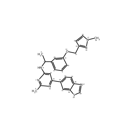 Cc1nc(NC(C)c2cccc(OCc3ccn(C)n3)c2)cc(-c2ccc3ncsc3c2)n1